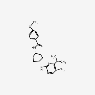 Cc1cnc(N[C@H]2CC[C@@H](NC(=O)c3ccc(OC(F)(F)F)cc3)CC2)nc1N(C)C